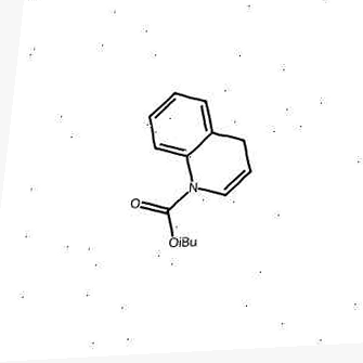 CC(C)COC(=O)N1C=CCc2ccccc21